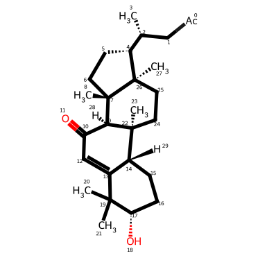 CC(=O)C[C@@H](C)[C@H]1CC[C@@]2(C)[C@@H]3C(=O)C=C4[C@@H](CC[C@H](O)C4(C)C)[C@]3(C)CC[C@]12C